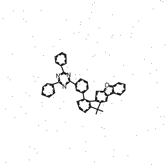 CC1(C)c2cc3c(cc2-c2c(-c4cccc(-c5nc(-c6ccccc6)nc(-c6ccccc6)n5)c4)cccc21)oc1ccccc13